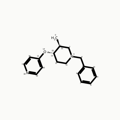 C[C@H]1CN(Cc2ccccc2)CC[C@@H]1Oc1ccncc1